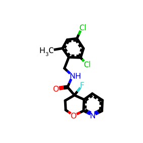 Cc1cc(Cl)cc(Cl)c1CNC(=O)C1(F)CCOc2ncccc21